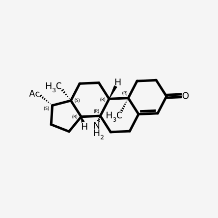 CC(=O)[C@H]1CC[C@@H]2[C@]1(C)CC[C@H]1[C@@]2(N)CCC2=CC(=O)CC[C@@]21C